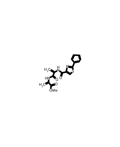 C=C(NC(=O)c1csc(-c2ccccc2)n1)C(=O)NC(=C)C(=O)OC